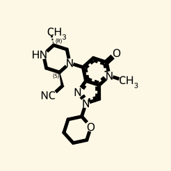 C[C@@H]1CN(c2cc(=O)n(C)c3cn(C4CCCCO4)nc23)[C@@H](CC#N)CN1